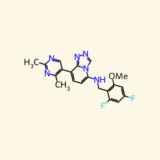 COc1cc(F)cc(F)c1CNc1ccc(-c2cnc(C)nc2C)c2nncn12